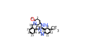 O=C1CCC(Nc2ncnc3ccc(C(F)(F)F)cc23)CN1Cc1ccccc1C(F)(F)F